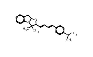 CN(C)c1ccc(C=CC=CC2OC3Cc4ccccc4N3C2(C)C)cc1